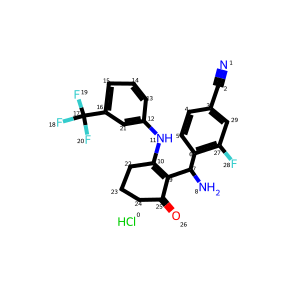 Cl.N#Cc1ccc(C(N)C2=C(Nc3cccc(C(F)(F)F)c3)CCCC2=O)c(F)c1